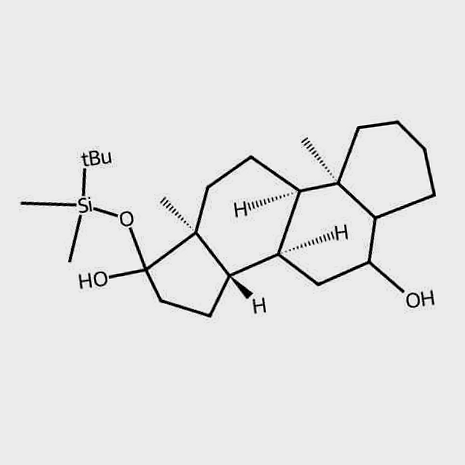 CC(C)(C)[Si](C)(C)OC1(O)CC[C@H]2[C@@H]3CC(O)C4CCCC[C@]4(C)[C@@H]3CC[C@@]21C